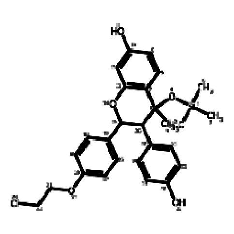 C[Si](C)(C)OC1(C(F)(F)F)c2ccc(O)cc2OC(c2ccc(OCCCl)cc2)C1c1ccc(O)cc1